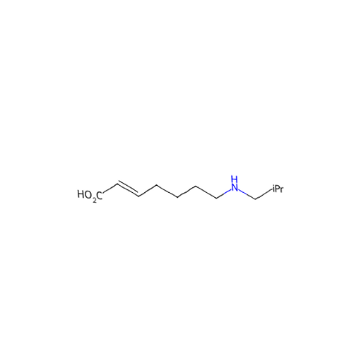 CC(C)CNCCCCC=CC(=O)O